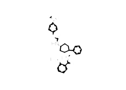 COc1ccccc1C(=O)NC[C@]1(c2ccccc2)CC[C@@H](NC(=O)Oc2ccc([N+](=O)[O-])cc2)CC1